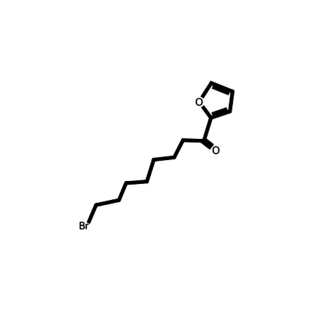 O=C(CCCCCCCBr)c1ccco1